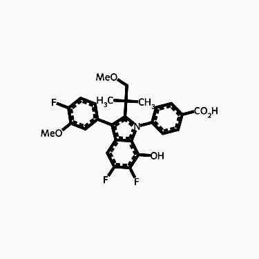 COCC(C)(C)c1c(-c2ccc(F)c(OC)c2)c2cc(F)c(F)c(O)c2n1-c1ccc(C(=O)O)cc1